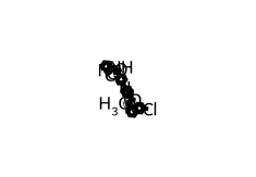 C[C@H](C(=O)N1CCN(c2ccc(S(=O)(=O)Nc3cccnc3Cl)cc2)CC1)N1CCCc2cc(Cl)ccc21